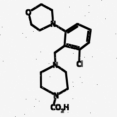 O=C(O)N1CCN(Cc2c(Cl)cccc2N2CCOCC2)CC1